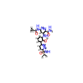 CNC(=O)c1nnc(NC(=O)C2CC2)cc1Nc1cccc(-c2ccc([S@@](=N)(=O)C(C)C)nn2)c1OC